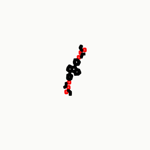 C=CC(=O)OC(C)COc1ccc(-c2cccc3c2-c2ccccc2C3c2ccc(OCC(C)OC(=O)C=C)cc2)cc1